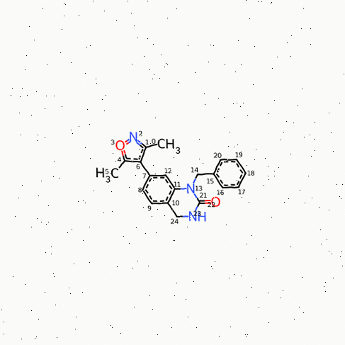 Cc1noc(C)c1-c1ccc2c(c1)N(Cc1ccccc1)C(=O)NC2